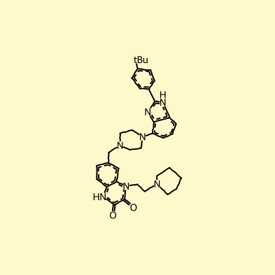 CC(C)(C)c1ccc(-c2nc3c(N4CCN(Cc5ccc6[nH]c(=O)c(=O)n(CCN7CCCCC7)c6c5)CC4)cccc3[nH]2)cc1